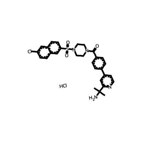 CC(C)(N)c1cc(-c2ccc(C(=O)N3CCN(S(=O)(=O)c4ccc5cc(Cl)ccc5c4)CC3)cc2)ccn1.Cl